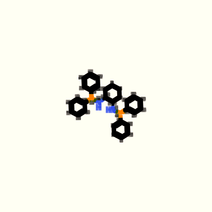 c1ccc(P(N[C@H]2CCCC[C@@H]2NP(c2ccccc2)c2ccccc2)c2ccccc2)cc1